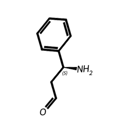 N[C@@H](CC=O)c1ccccc1